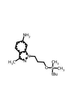 Cc1nn(CCCO[Si](C)(C)C(C)(C)C)c2cc(N)ccc12